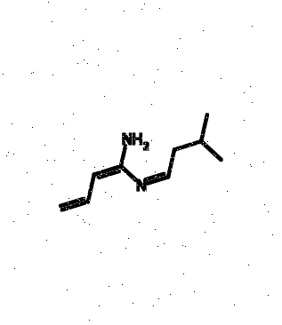 C=C/C=C(N)\N=C/CC(C)C